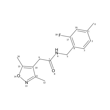 Cc1ccc(CNC(=O)Cc2c(C)noc2C)c(F)c1